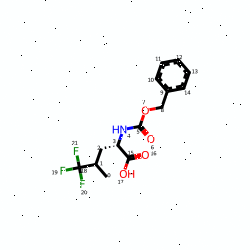 CC(C[C@H](NC(=O)OCc1ccccc1)C(=O)O)C(F)(F)F